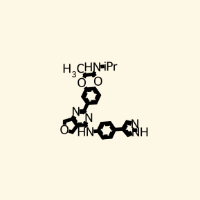 CC(C)NC(=O)C(C)Oc1cccc(-c2nc3c(c(Nc4ccc(-c5cn[nH]c5)cc4)n2)COC3)c1